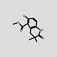 COC(=O)c1c(Cl)ccc2c1CC(C)(C)C(=O)N2